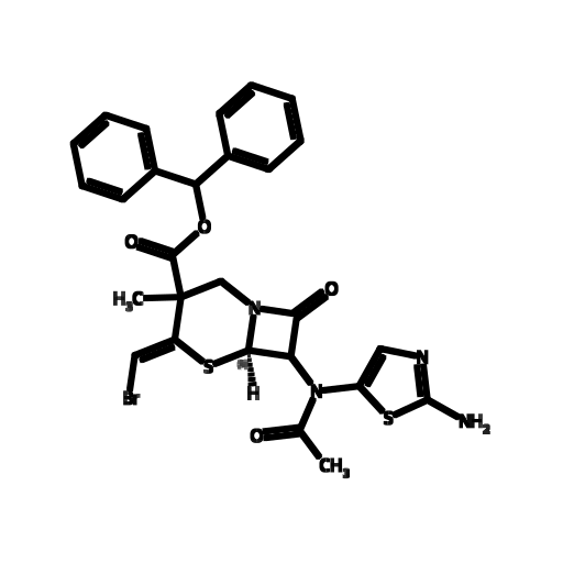 CC(=O)N(c1cnc(N)s1)C1C(=O)N2CC(C)(C(=O)OC(c3ccccc3)c3ccccc3)C(=CBr)S[C@H]12